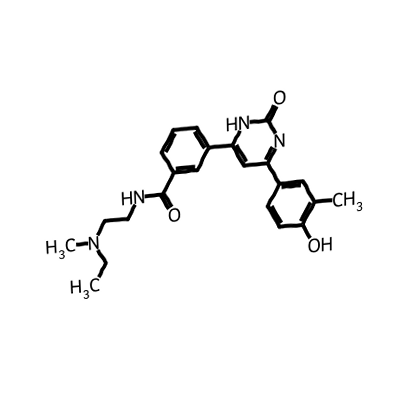 CCN(C)CCNC(=O)c1cccc(-c2cc(-c3ccc(O)c(C)c3)nc(=O)[nH]2)c1